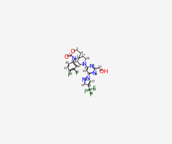 O=C1OCCC2(CCN(c3cc(-n4cc(C(F)(F)F)cn4)nc(CO)n3)CC2)N1c1ccc(F)c(F)c1